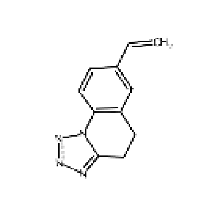 C=Cc1ccc2c(c1)CCc1nnnn1-2